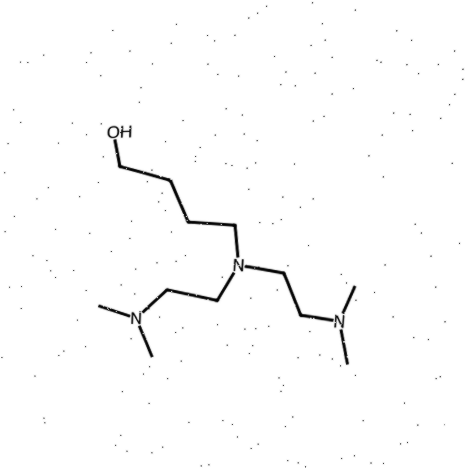 CN(C)CCN(CCCCO)CCN(C)C